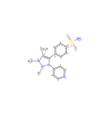 CCN1C(c2ccncc2)C(c2ccc(S(N)(=O)=O)cc2)=C(C(=O)O)N1C